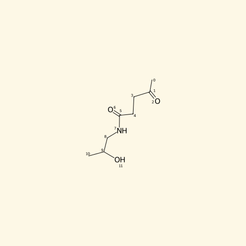 CC(=O)CCC(=O)NCC(C)O